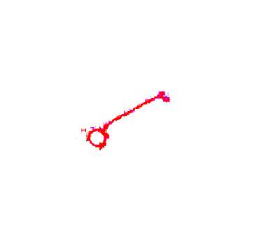 CO[C@H]1C[C@@H]2CCCC(O2)C(=O)C(=O)N2CCCC[C@H]2COC([C@H](N)CC2CCC(OC(=O)NCCOCCOCCOCCOCCC(=O)NCCOCCOCCOCCOCCC(=O)NCCCCn3nc(-c4cnc5[nH]ccc5c4)c4c(N)ncnc43)CC2)CC(=O)[C@H](C)/C=C(\C)[C@@H](O)CC(=O)[C@H](C)C[C@H](C)/C=C/C=C/C=C/1C